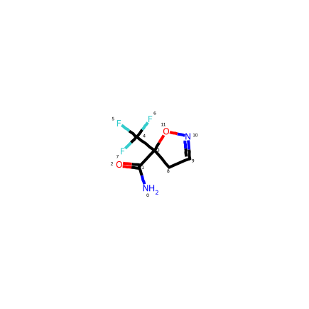 NC(=O)C1(C(F)(F)F)CC=NO1